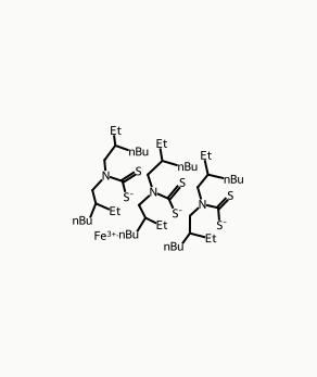 CCCCC(CC)CN(CC(CC)CCCC)C(=S)[S-].CCCCC(CC)CN(CC(CC)CCCC)C(=S)[S-].CCCCC(CC)CN(CC(CC)CCCC)C(=S)[S-].[Fe+3]